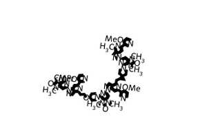 CCCc1nc(-n2ncc3c(CCOC4CCN(c5nc(-n6ncc7c(CC8CC89CCN(c8nc(-n%10ncc%11c(C)nc(-c%12cnccc%12OC)cc%11%10)cc%10c8n(C)c(=O)n%10C)CC9)nc(-c8cnccc8OC)cc76)cc6c5n(C)c(=O)n6C)CC4)nc(-c4cnccc4OC)cc32)cc2c1n(C)c(=O)n2C